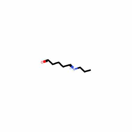 CCC/N=C/CCCC=O